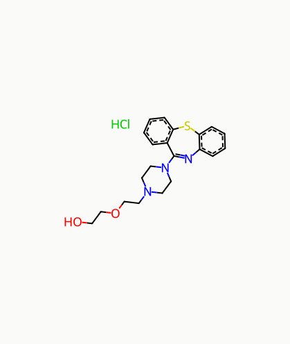 Cl.OCCOCCN1CCN(C2=Nc3ccccc3Sc3ccccc32)CC1